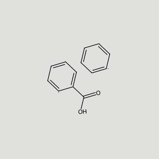 O=C(O)c1[c]cccc1.[c]1ccccc1